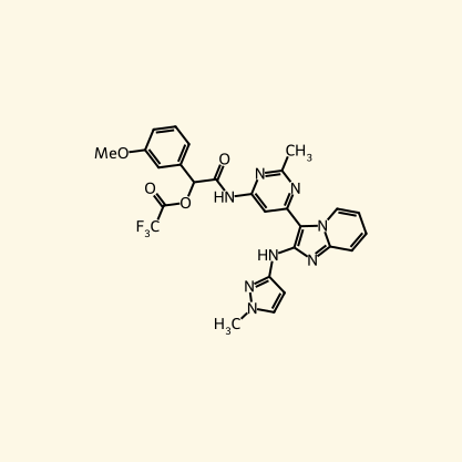 COc1cccc(C(OC(=O)C(F)(F)F)C(=O)Nc2cc(-c3c(Nc4ccn(C)n4)nc4ccccn34)nc(C)n2)c1